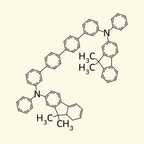 CC1(C)c2ccccc2-c2ccc(N(c3ccccc3)c3cccc(-c4ccc(-c5ccc(-c6cccc(N(c7ccccc7)c7ccc8c(c7)C(C)(C)C7CC=CC=C87)c6)cc5)cc4)c3)cc21